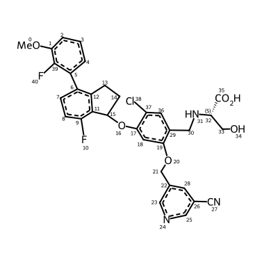 COc1cccc(-c2ccc(F)c3c2CCC3Oc2cc(OCc3cncc(C#N)c3)c(CN[C@@H](CO)C(=O)O)cc2Cl)c1F